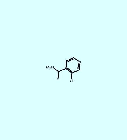 CNC(C)c1ccncc1Cl